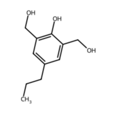 CCCc1cc(CO)c(O)c(CO)c1